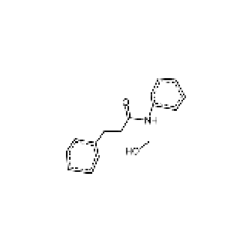 CO.O=C(CCc1ccccc1)Nc1ccccc1